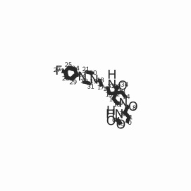 CCC(NC(=O)O)C(=O)N1CCC2(CC1)C[C@H](CCN1CCN(c3ccc(F)cc3)CC1)NC2=O